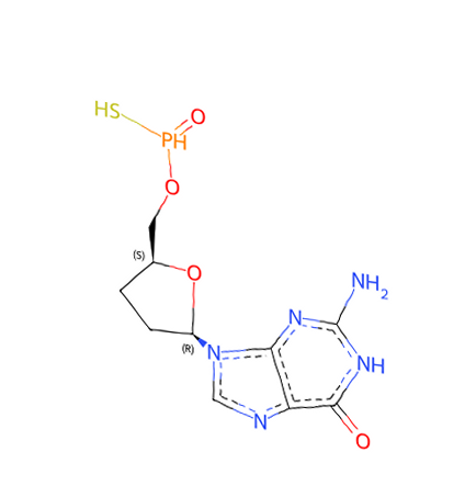 Nc1nc2c(ncn2[C@H]2CC[C@@H](CO[PH](=O)S)O2)c(=O)[nH]1